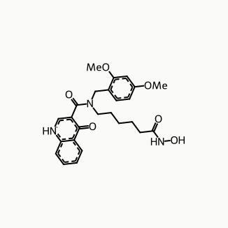 COc1ccc(CN(CCCCCC(=O)NO)C(=O)c2c[nH]c3ccccc3c2=O)c(OC)c1